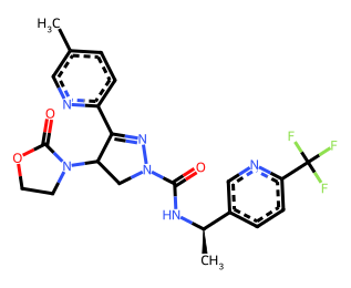 Cc1ccc(C2=NN(C(=O)N[C@H](C)c3ccc(C(F)(F)F)nc3)CC2N2CCOC2=O)nc1